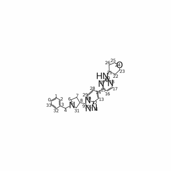 c1ccc(CN2CCC(c3nnc4cc(-c5ccnc(NC6CCOCC6)n5)ccn34)C2)cc1